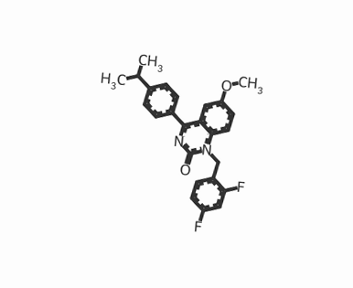 COc1ccc2c(c1)c(-c1ccc(C(C)C)cc1)nc(=O)n2Cc1ccc(F)cc1F